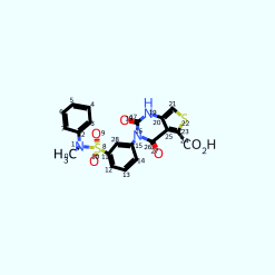 CN(c1ccccc1)S(=O)(=O)c1cccc(-n2c(=O)[nH]c3csc(C(=O)O)c3c2=O)c1